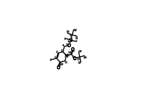 CC1=CC(CO[Si](C)(C)C(C)(C)C)N(C(=O)OC(C)(C)C)CC1=O